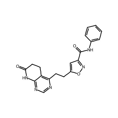 O=C1CCc2c(CCc3cc(C(=O)Nc4ccccc4)no3)ncnc2N1